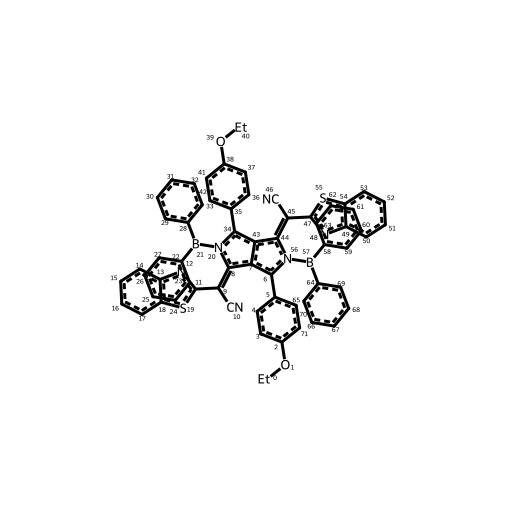 CCOc1ccc(-c2c3/c(=C(\C#N)c4nc5ccccc5s4)n(B(c4ccccc4)c4ccccc4)c(-c4ccc(OCC)cc4)c3/c(=C(\C#N)c3nc4ccccc4s3)n2B(c2ccccc2)c2ccccc2)cc1